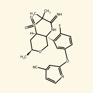 C[C@H]1C[C@@H]2[C@](c3cc(Oc4cc(C#N)ccn4)ccc3F)(CO1)NC(=N)C(C)(C)S2(=O)=O